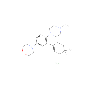 CCCCN1CCN(c2ccc(N3CCOCC3)cc2C2=CCC(CC)(CC)CC2)CC1.Cl